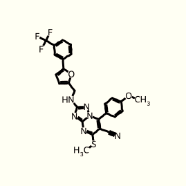 COc1ccc(-c2c(C#N)c(SC)nc3nc(NCc4ccc(-c5cccc(C(F)(F)F)c5)o4)nn23)cc1